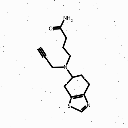 C#CCN(CCCC(N)=O)C1CCc2ncsc2C1